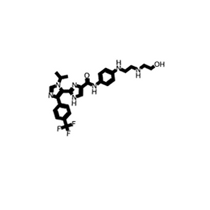 CC(C)n1cnc(-c2ccc(C(F)(F)F)cc2)c1-c1nc(C(=O)Nc2ccc(NCCNCCO)cc2)c[nH]1